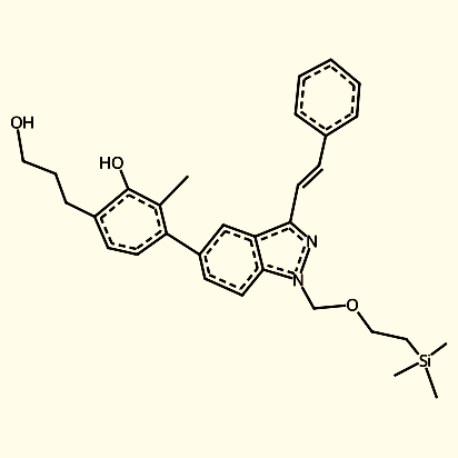 Cc1c(-c2ccc3c(c2)c(C=Cc2ccccc2)nn3COCC[Si](C)(C)C)ccc(CCCO)c1O